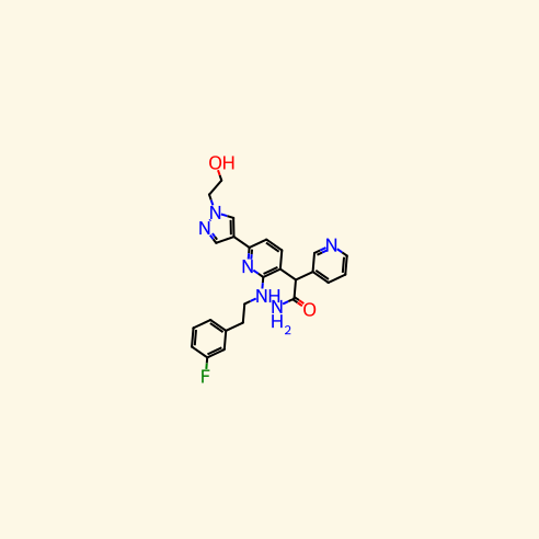 NC(=O)C(c1cccnc1)c1ccc(-c2cnn(CCO)c2)nc1NCCc1cccc(F)c1